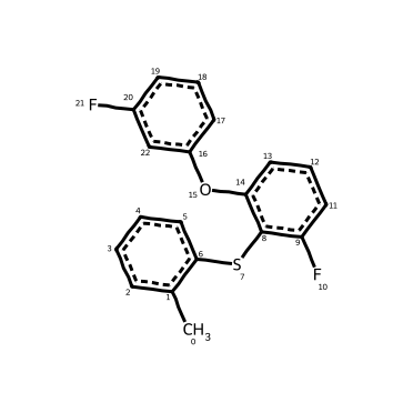 Cc1ccccc1Sc1c(F)cccc1Oc1cccc(F)c1